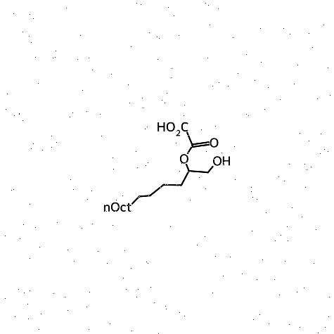 CCCCCCCCCCCCC(CO)OC(=O)C(=O)O